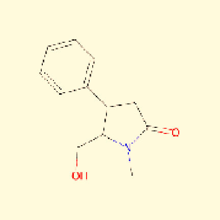 CN1C(=O)CC(c2ccccc2)C1CO